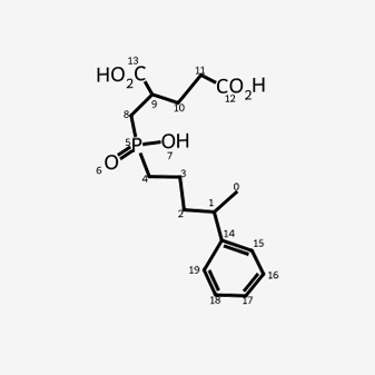 CC(CCCP(=O)(O)CC(CCC(=O)O)C(=O)O)c1ccccc1